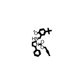 CC#CCOC(=O)N1C(NCc2cc(C(C)(C)C)ccc2OC)CCC1c1ccccc1